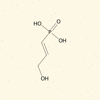 O=P(O)(O)C=CCO